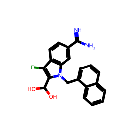 N=C(N)c1ccc2c(F)c(C(O)O)n(Cc3cccc4ccccc34)c2c1